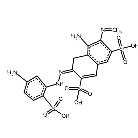 C=Nc1c(S(=O)(=O)O)cc2c(c1N)C/C(=N/Nc1cc(N)ccc1S(=O)(=O)O)C(S(=O)(=O)O)=C2